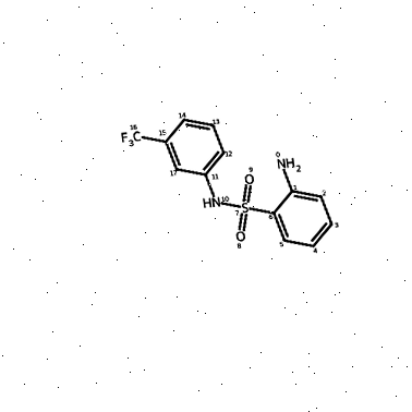 Nc1ccccc1S(=O)(=O)Nc1cccc(C(F)(F)F)c1